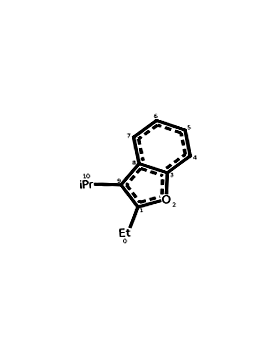 CCc1oc2ccccc2c1C(C)C